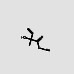 C=CC(C)(O)C(=O)OCCCC